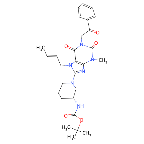 C/C=C/Cn1c(N2CCC[C@@H](NC(=O)OC(C)(C)C)C2)nc2c1c(=O)n(CC(=O)c1ccccc1)c(=O)n2C